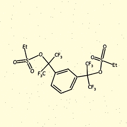 CCS(=O)(=O)OC(c1cccc(C(OS(=O)(=O)CC)(C(F)(F)F)C(F)(F)F)c1)(C(F)(F)F)C(F)(F)F